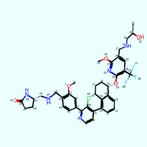 COc1cc(-c2nccc(-c3cccc4c3CCC[C@@H]4Oc3nc(OC)c(CNC[C@@H](C)O)cc3C(F)(F)F)c2Cl)ccc1CNC[C@@H]1CCC(=O)N1